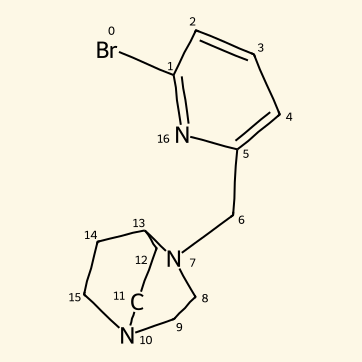 Brc1cccc(CN2CCN3CCC2CC3)n1